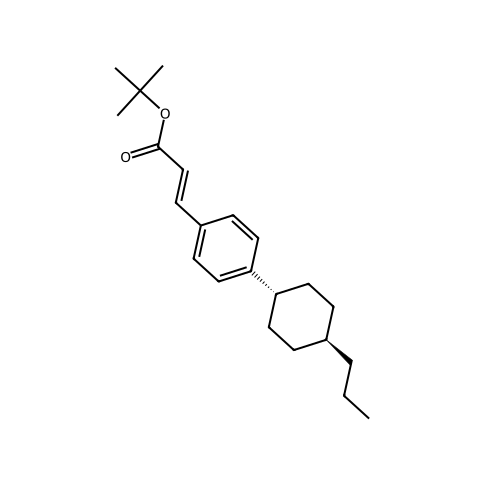 CCC[C@H]1CC[C@H](c2ccc(C=CC(=O)OC(C)(C)C)cc2)CC1